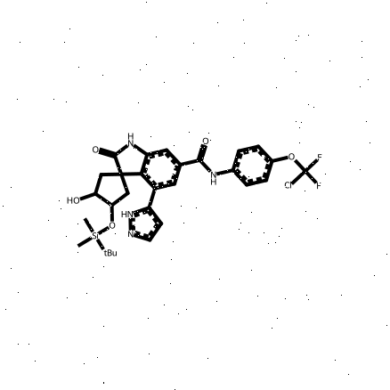 CC(C)(C)[Si](C)(C)OC1CC2(CC1O)C(=O)Nc1cc(C(=O)Nc3ccc(OC(F)(F)Cl)cc3)cc(-c3ccn[nH]3)c12